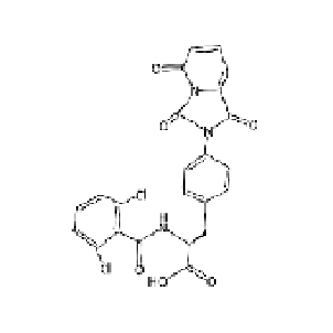 O=C(N[C@@H](Cc1ccc(N2C(=O)c3cccc(=O)n3C2=O)cc1)C(=O)O)c1c(Cl)cccc1Cl